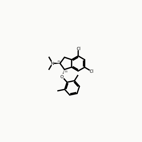 Cc1cccc(C)c1O[C@H]1c2cc(Cl)cc(Cl)c2C[C@@H]1N(C)C